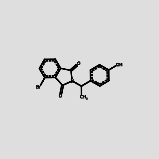 CC(c1ccc(O)cc1)N1C(=O)c2cccc(Br)c2C1=O